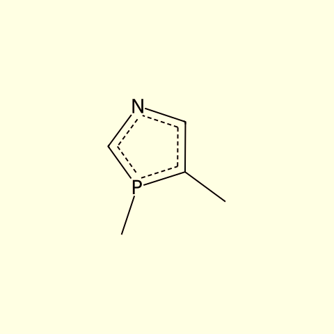 Cc1cncp1C